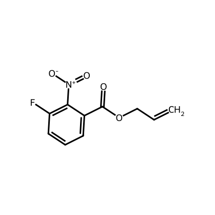 C=CCOC(=O)c1cccc(F)c1[N+](=O)[O-]